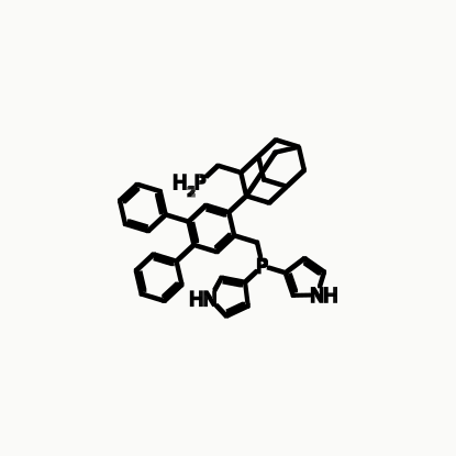 PCC1C2CC3CC(C2)CC1(c1cc(-c2ccccc2)c(-c2ccccc2)cc1CP(c1cc[nH]c1)c1cc[nH]c1)C3